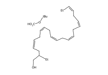 CC(C)(C)OC(=O)O.CC/C=C\C/C=C\C/C=C\C/C=C\C/C=C\C/C=C\CC(CC)CO